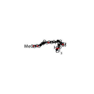 CCN(CC)c1ccc(NC(=O)c2cccc(CCCOCCOCCOCCOCCC(=O)N3CCN(c4ccc(OCCOCCOCCOC)cc4)CC3)c2)c(-c2cccc(C(=O)NCc3cccc(C(F)(F)F)c3)c2)c1